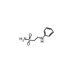 NS(=O)(=O)CCNc1ccccc1